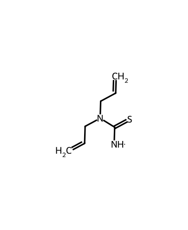 C=CCN(CC=C)C([NH])=S